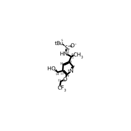 CC(N[S@+]([O-])C(C)(C)C)c1cnc(OCC(F)(F)F)c(CO)c1